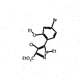 CCOC(=O)c1nn(CC)c(-c2ccc(Br)cc2OCC)c1Cl